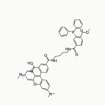 C/N=c1/ccc2c(-c3ccc(C(=O)NCCCCNC(=O)c4ccc(C(=O)OC)c(P(c5ccccc5)c5ccccc5)c4)cc3C(=O)O)c3ccc(N(C)C)cc3oc-2c1